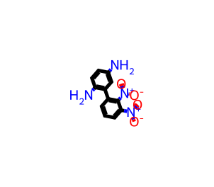 Nc1ccc(N)c(-c2cccc([N+](=O)[O-])c2[N+](=O)[O-])c1